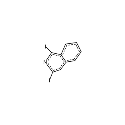 Ic1cc2ccccc2c(I)n1